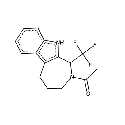 CC(=O)N1CCCc2c([nH]c3ccccc23)C1C(F)(F)F